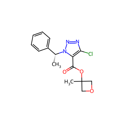 C[C@H](c1ccccc1)n1nnc(Cl)c1C(=O)OC1(C)COC1